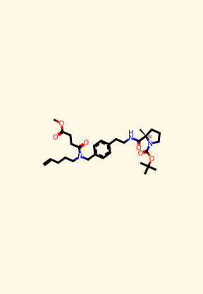 C=CCCCN(Cc1ccc(CCNC(=O)[C@]2(C)CCCN2C(=O)OC(C)(C)C)cc1)C(=O)CCC(=O)OC